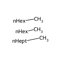 CCCCCCC.CCCCCCC.CCCCCCCC